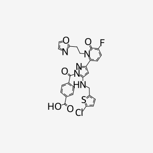 O=C(O)c1ccc(C(=O)n2nc(-c3ccc(F)c(=O)n3CCc3ncco3)cc2NCc2ccc(Cl)s2)cc1